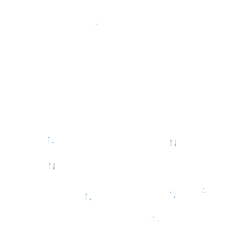 CC(=O)N(C(C)=O)c1cc(-c2c(-c3ccc(F)cc3)nn3cccnc23)ccn1